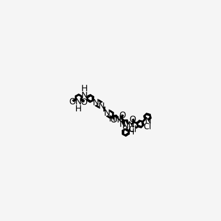 O=C1CCC(Nc2ccc(N3CCN(CCN4CCC(O)(CNC(=O)c5cc(NC(=O)c6cc(-c7ccccn7)c(Cl)cc6Cl)n(-c6ccccc6)n5)CC4)CC3)cc2)C(=O)N1